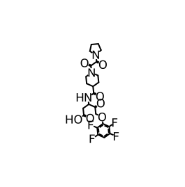 O=C(O)CC(NC(=O)C1CCN(C(=O)C(=O)N2CCCC2)CC1)C(=O)COc1c(F)c(F)cc(F)c1F